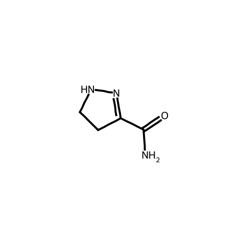 NC(=O)C1=NNCC1